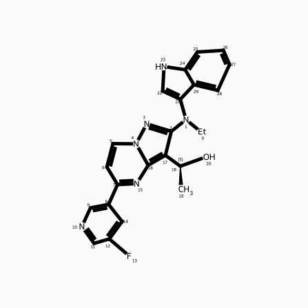 CCN(c1nn2ccc(-c3cncc(F)c3)nc2c1[C@H](C)O)c1c[nH]c2ccccc12